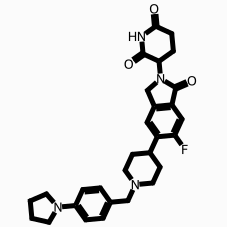 O=C1CCC(N2Cc3cc(C4CCN(Cc5ccc(N6CCCC6)cc5)CC4)c(F)cc3C2=O)C(=O)N1